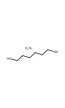 OCCCCCCO.[TeH2]